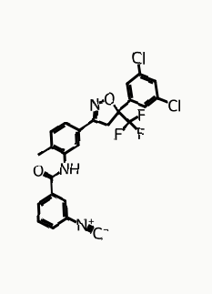 [C-]#[N+]c1cccc(C(=O)Nc2cc(C3=NOC(c4cc(Cl)cc(Cl)c4)(C(F)(F)F)C3)ccc2C)c1